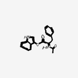 CC(=O)NC(Cc1ccccc1)C(=O)Oc1c[nH]c2ccccc12